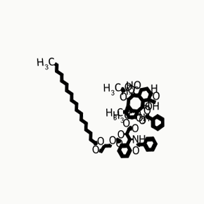 CCCCCCCCCCCCCCCCCC1OCC(COC(=O)O[C@@H](C(=O)O[C@H]2C[C@@]3(O)[C@@H](OC(=O)c4ccccc4)[C@@H]4[C@]5(O)CO[C@@H]5C[C@H](O)[C@@]4(C)C(=O)[C@H](OC(C)=O)C(=C2C)C3(C)C)[C@@H](NC(=O)c2ccccc2)c2ccccc2)O1